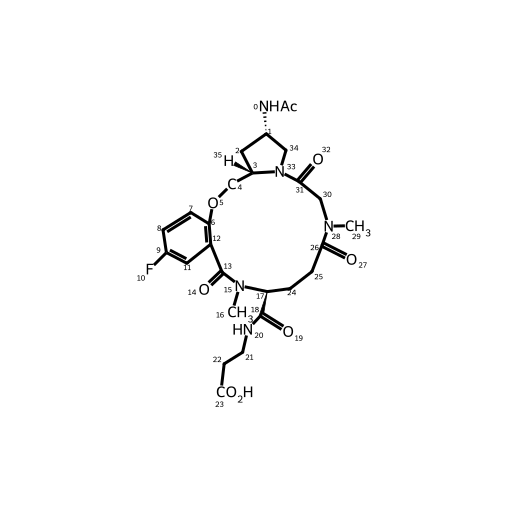 CC(=O)N[C@H]1C[C@H]2COc3ccc(F)cc3C(=O)N(C)[C@H](C(=O)NCCC(=O)O)CCC(=O)N(C)CC(=O)N2C1